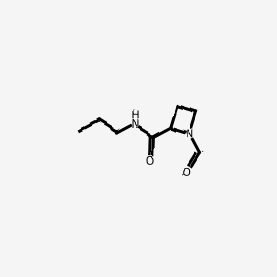 CCCNC(=O)C1CCN1[C]=O